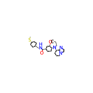 CSc1ccc(CNC(=O)c2ccc3c(c2)OCCCN3c2cccn3ccnc23)cc1